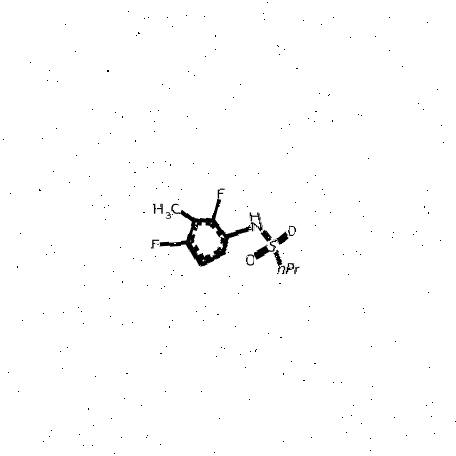 CCCS(=O)(=O)Nc1ccc(F)c(C)c1F